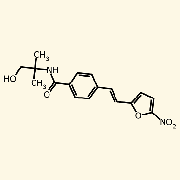 CC(C)(CO)NC(=O)c1ccc(C=Cc2ccc([N+](=O)[O-])o2)cc1